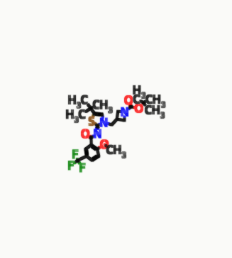 COc1ccc(C(F)(F)F)cc1C(=O)N=c1sc(C(C)(C)C)cn1CC1CN(C(=O)OC(C)(C)C)C1